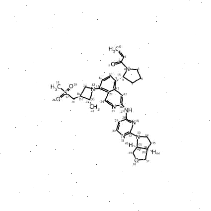 C=CC(=O)N1CCC[C@@H]1c1ccc(N2C[C@H](CS(C)(=O)=O)[C@H]2C)c2cnc(Nc3ccnc(N4CC[C@H]5COC[C@H]54)n3)cc12